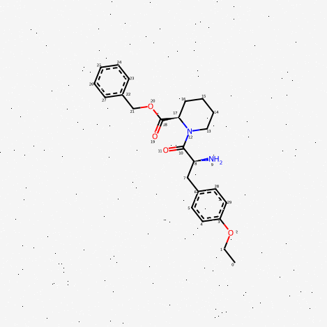 CCOc1ccc(C[C@H](N)C(=O)N2CCCC[C@@H]2C(=O)OCc2ccccc2)cc1